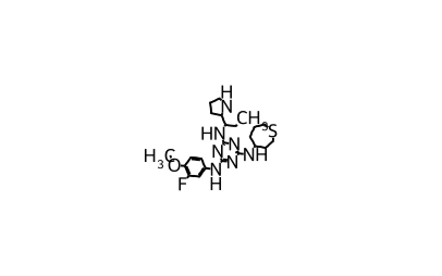 CCC(Nc1nc(Nc2ccc(OC)c(F)c2)nc(NC2CCCSCC2)n1)C1CCCN1